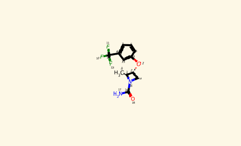 C[C@@H]1[C@H](Oc2cccc(C(F)(F)F)c2)CN1C(N)=O